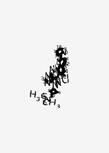 CN(C)CC1CC(n2nc(-c3cc4nc(-c5ccccn5)ccc4cc3Cl)c3c(N)ncnc32)C1